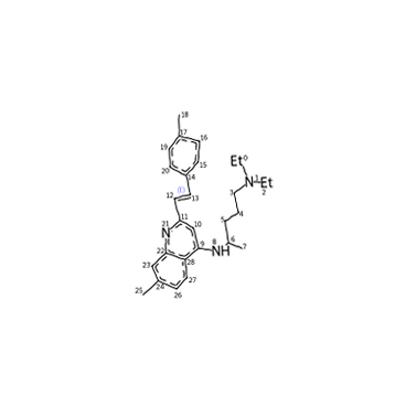 CCN(CC)CCCC(C)Nc1cc(/C=C/c2ccc(C)cc2)nc2cc(C)ccc12